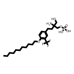 CCCCCCCCCCCOc1ccc(CCC(N)(CO)COP(=O)(O)O)cc1C(F)(F)F